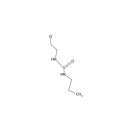 CCCNC(=O)NCC[O]